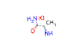 CO.N=CC(N)=O